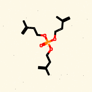 C=C(C)CCOP(=O)(OCCC(=C)C)OCCC(=C)C